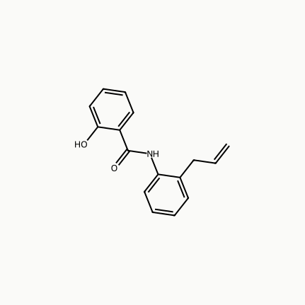 C=CCc1ccccc1NC(=O)c1ccccc1O